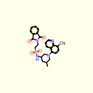 CC1CC(NS(=O)(=O)CCN2C(=O)c3ccccc3C2=O)CN(c2ccc(C#N)c3ncccc23)C1